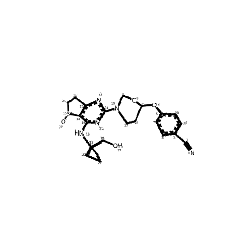 N#Cc1ccc(OC2CCN(c3nc4c(c(NC5(CO)CC5)n3)[S+]([O-])CC4)CC2)cc1